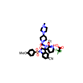 CCOc1ncccc1C1(NC(=O)N2CCC(N3CCN(C)CC3)CC2)C(=O)N(S(=O)(=O)c2ccc(OC)cc2)c2ccc(C#N)cc21.O=C(O)C(F)(F)F